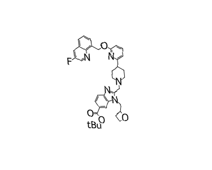 CC(C)(C)OC(=O)c1ccc2nc(CN3CCC(c4cccc(OCc5cccc6cc(F)cnc56)n4)CC3)n(CC3CCO3)c2c1